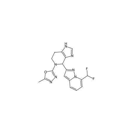 Cc1nnc(N2CCc3[nH]cnc3C2c2cc3cccc(C(F)F)n3n2)o1